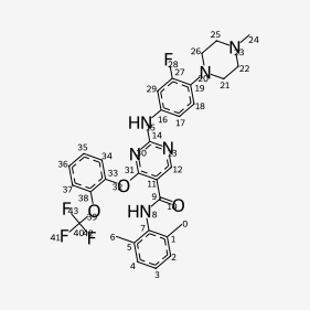 Cc1cccc(C)c1NC(=O)c1cnc(Nc2ccc(N3CCN(C)CC3)c(F)c2)nc1Oc1ccccc1OC(F)(F)F